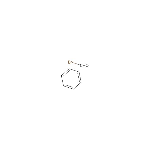 O=CBr.c1ccccc1